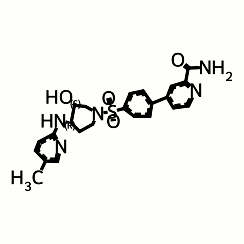 Cc1ccc(N[C@@H]2CCN(S(=O)(=O)c3ccc(-c4ccnc(C(N)=O)c4)cc3)C[C@@H]2O)nc1